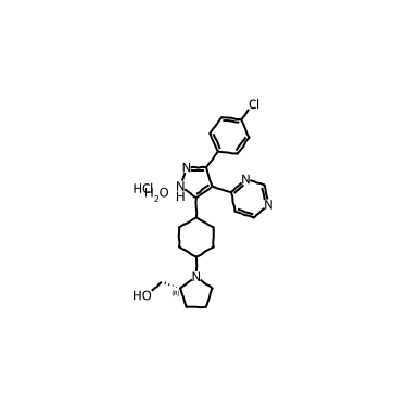 Cl.O.OC[C@H]1CCCN1C1CCC(c2[nH]nc(-c3ccc(Cl)cc3)c2-c2ccncn2)CC1